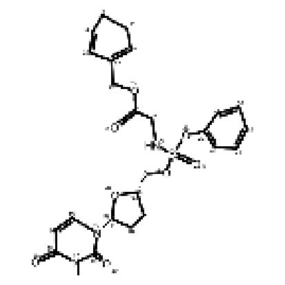 O=C(CNP(=O)(OC[C@@H]1CC[C@H](n2ccc(=O)[nH]c2=O)O1)Oc1ccccc1)OCC1=CCCC=C1